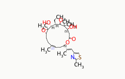 CC[C@H]1C(=O)C(C)(C)[C@@H](O)CC(=O)O[C@H](C(C)=Cc2csc(C)n2)C/C=C(/C)CCC2OC2(C)[C@@H]1O